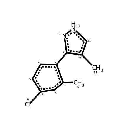 Cc1cc(Cl)ccc1-c1n[nH]cc1C